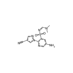 CN(C)/C=N\S(=O)(=O)c1cc(N)cnc1-n1cc(C#N)cn1